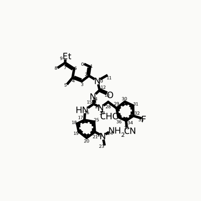 C\C=C(/C=C(C)\C=C(/C)CC)N(C)C(=O)/N=C(/Nc1cccc(N(C)N)c1)N(C=O)Cc1ccc(F)c(C#N)c1